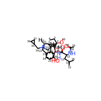 CO[C@]12CC[C@@]3(C[C@@H]1CNC(=O)C(CC(C)C)NC(C)=O)[C@H]1Cc4ccc(O)c5c4[C@@]3(CCN1CC1CC1)[C@H]2O5